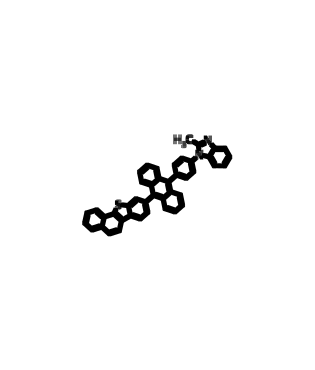 Cc1nc2ccccc2n1-c1ccc(-c2c3ccccc3c(-c3ccc4c(c3)sc3c5ccccc5ccc43)c3ccccc23)cc1